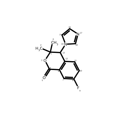 CC1(C)OC(=O)c2cc(F)ccc2C1n1ccnc1